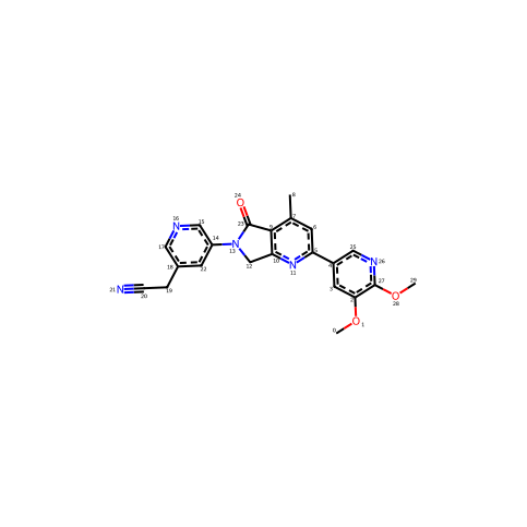 COc1cc(-c2cc(C)c3c(n2)CN(c2cncc(CC#N)c2)C3=O)cnc1OC